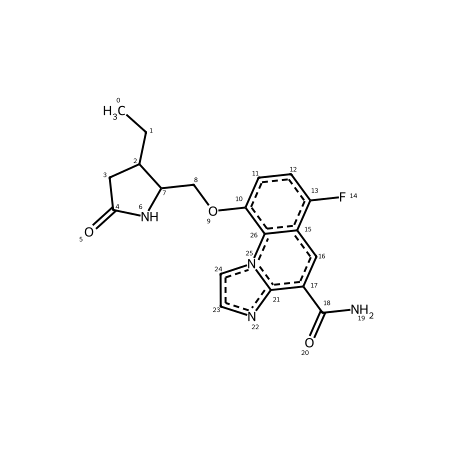 CCC1CC(=O)NC1COc1ccc(F)c2cc(C(N)=O)c3nccn3c12